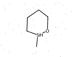 C[SiH]1CCCCO1